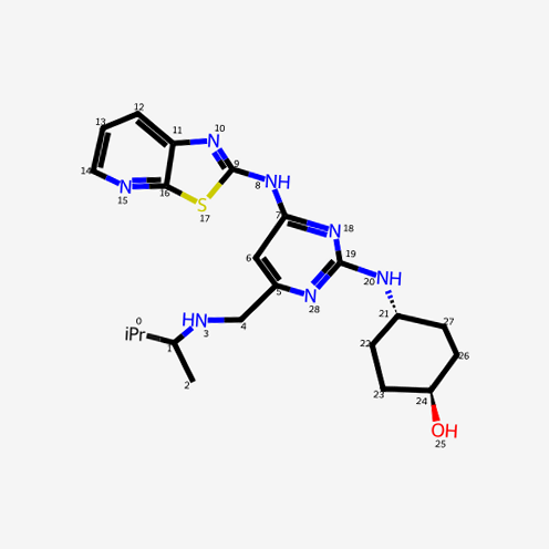 CC(C)C(C)NCc1cc(Nc2nc3cccnc3s2)nc(N[C@H]2CC[C@H](O)CC2)n1